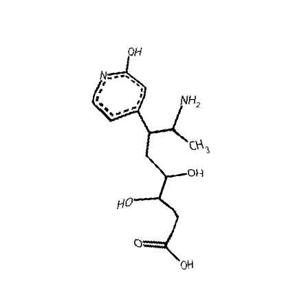 CC(N)C(CC(O)C(O)CC(=O)O)c1ccnc(O)c1